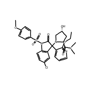 CCOc1ncccc1C1(N2C[C@H](O)C[C@H]2C(=O)N(C)C)C(=O)N(S(=O)(=O)c2ccc(OC)cc2)c2ccc(Cl)cc21